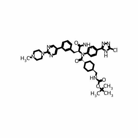 CN1CCN(c2ncc(-c3cccc(C[C@@H](C(N)=O)N(c4ccc(-c5nnc(Cl)[nH]5)cc4)C(=O)[C@H]4CC[C@H](CNC(=O)OC(C)(C)C)CC4)c3)cn2)CC1